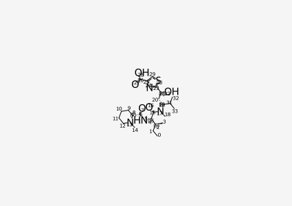 CC[C@H](C)[C@H](NC(=O)[C@H]1CCCCN1C)C(=O)N(C)[C@H](C[C@@H](O)c1nc(C(=O)O)cs1)C(C)C